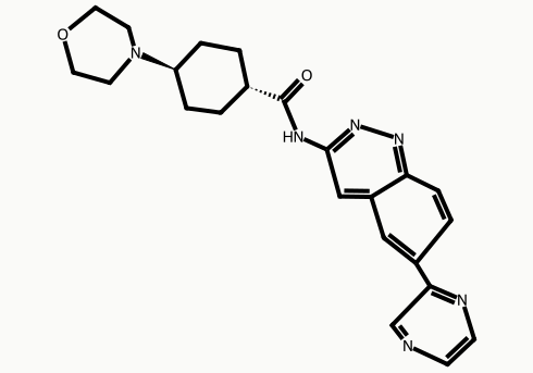 O=C(Nc1cc2cc(-c3cnccn3)ccc2nn1)[C@H]1CC[C@H](N2CCOCC2)CC1